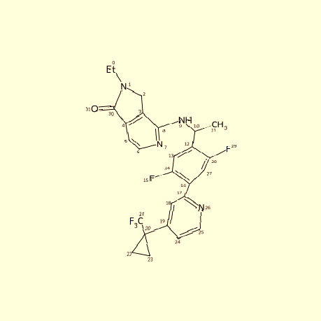 CCN1Cc2c(ccnc2NC(C)c2cc(F)c(-c3cc(C4(C(F)(F)F)CC4)ccn3)cc2F)C1=O